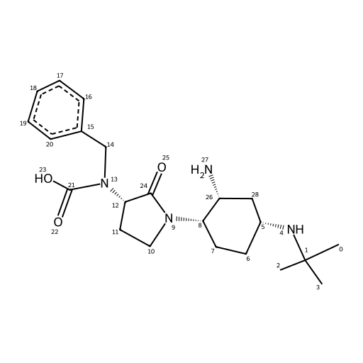 CC(C)(C)N[C@@H]1CC[C@H](N2CC[C@H](N(Cc3ccccc3)C(=O)O)C2=O)[C@H](N)C1